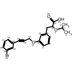 CC(C)OC(Cc1cccc(OCC#Cc2cccc(Br)c2)c1)C(=O)O